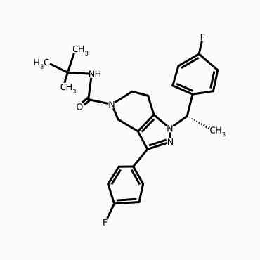 C[C@@H](c1ccc(F)cc1)n1nc(-c2ccc(F)cc2)c2c1CCN(C(=O)NC(C)(C)C)C2